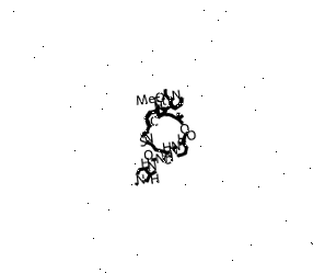 CCn1c(-c2cccnc2[C@H](C)OC)c2c3cc(ccc31)-c1csc(n1)C[C@H](NC(=O)N1C[C@H]3CN(C)CC[C@H]31)C(=O)N1CCC[C@H](N1)C(=O)OCC(C)(C)C2